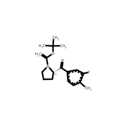 C=C(OC(C)(C)C)N1CCC[C@H]1C(=O)c1ccc(C)c(F)c1